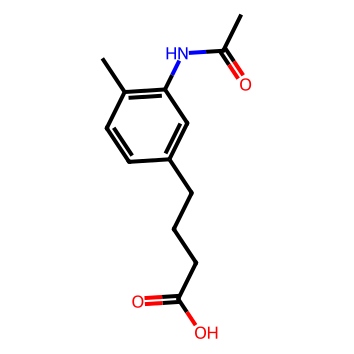 CC(=O)Nc1cc(CCCC(=O)O)ccc1C